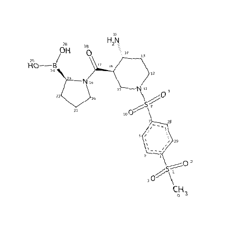 CS(=O)(=O)c1ccc(S(=O)(=O)N2CC[C@@H](N)[C@H](C(=O)N3CCC[C@H]3B(O)O)C2)cc1